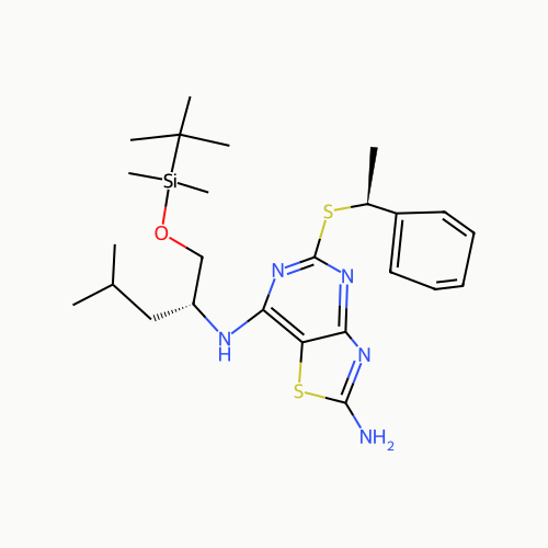 CC(C)C[C@H](CO[Si](C)(C)C(C)(C)C)Nc1nc(S[C@@H](C)c2ccccc2)nc2nc(N)sc12